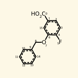 O=C(O)c1ccc(F)c(OCc2ccccc2)c1